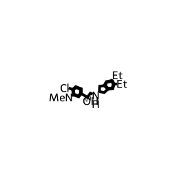 CCc1cc2c(cc1CC)CC(NC[C@H](O)c1ccc(Cl)c(NC)c1)C2